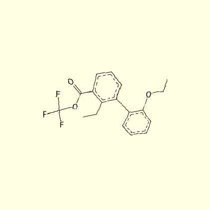 CCOc1ccccc1-c1cccc(C(=O)OC(F)(F)F)c1CC